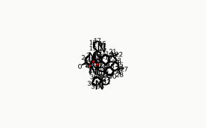 Cc1ccnc(Oc2cc3c(cc2OC2=NCCC=C2)C(C)(C)CC32CC(C)(C)c3cc(Oc4ccccn4)c(Oc4ccccn4)cc32)c1